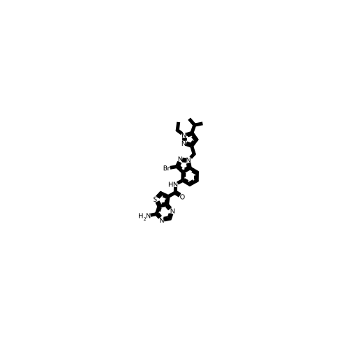 CCn1nc(Cn2nc(Br)c3c(NC(=O)c4csc5c(N)ncnc45)cccc32)cc1C(C)C